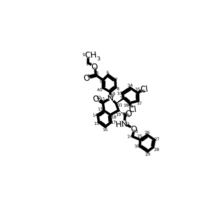 CCOC(=O)c1cccc(N2C(=O)c3ccccc3[C@@H](C(=O)NOCc3ccccc3)[C@@H]2c2ccc(Cl)cc2Cl)c1